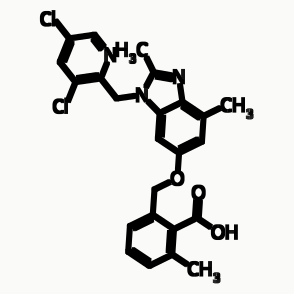 Cc1cccc(COc2cc(C)c3nc(C)n(Cc4ncc(Cl)cc4Cl)c3c2)c1C(=O)O